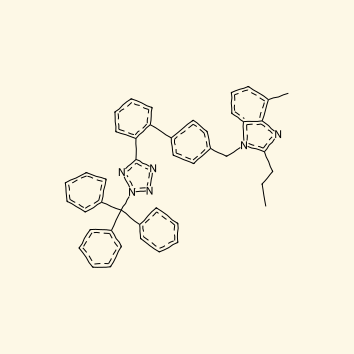 CCCc1nc2c(C)cccc2n1Cc1ccc(-c2ccccc2-c2nnn(C(c3ccccc3)(c3ccccc3)c3ccccc3)n2)cc1